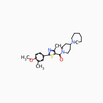 COc1ccc(-c2nc(C)c(C(=O)N3CCC(N4CCCCCC4)CC3)s2)cc1C